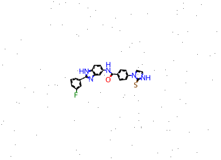 O=C(Nc1ccc2[nH]c(-c3cccc(F)c3)nc2c1)c1ccc(-n2cc[nH]c2=S)cc1